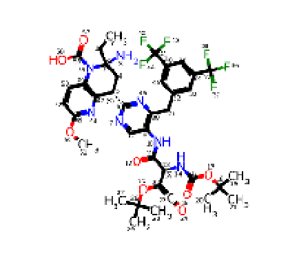 CC[C@]1(N)C[C@H](c2ncc(NC(=O)[C@@H](NC(=O)OC(C)(C)C)C(=C=O)OC(C)(C)C)c(Cc3cc(C(F)(F)F)cc(C(F)(F)F)c3)n2)c2nc(OC)ccc2N1C(=O)O